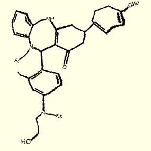 CCN(CCO)c1ccc(C2C3=C(CC(C4=CC=C(OC)CC4)CC3=O)Nc3ccccc3N2C(C)=O)c(C)c1